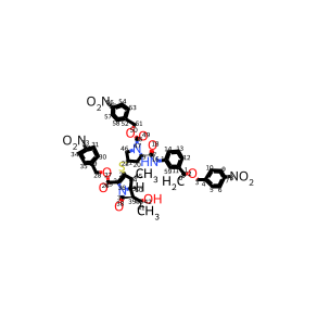 C=C(OCc1ccc([N+](=O)[O-])cc1)c1cccc(NC(=O)[C@@H]2C[C@H](SC3=C(C(=O)OCc4ccc([N+](=O)[O-])cc4)N4C(=O)[C@H]([C@@H](C)O)[C@H]4[C@H]3C)CN2C(=O)OCc2ccc([N+](=O)[O-])cc2)c1